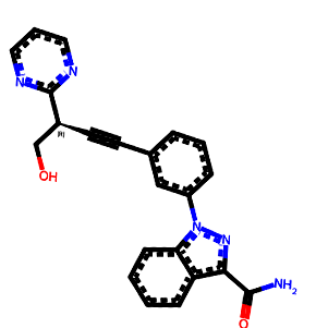 NC(=O)c1nn(-c2cccc(C#C[C@@H](CO)c3ncccn3)c2)c2ccccc12